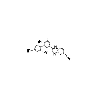 Cc1cc(-c2cnc3cc(CC(C)C)ccc3n2)cc(-c2c(C(C)C)cc(C(C)C)cc2C(C)C)c1